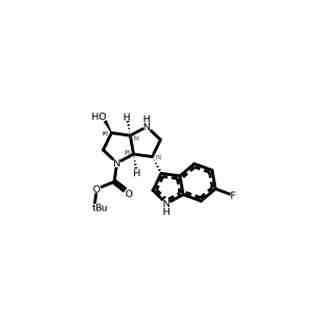 CC(C)(C)OC(=O)N1C[C@@H](O)[C@H]2NC[C@H](c3c[nH]c4cc(F)ccc34)[C@H]21